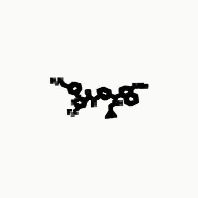 CNc1ccc(C(NCC2CC2)c2cccc(NC(=O)c3cc(C(F)(F)F)nn3-c3cccc(CN)c3)c2)c2ccccc12